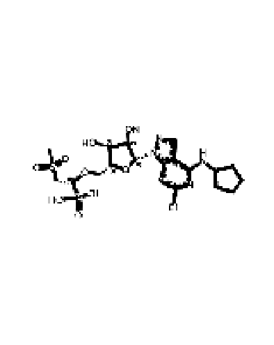 CS(=O)(=O)C[C@H](OC[C@H]1O[C@@H](n2ncc3c(NC4CCCC4)nc(Cl)nc32)[C@H](O)[C@@H]1O)P(=O)(O)O